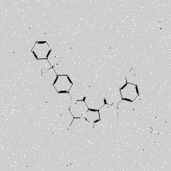 CC1CN(c2ccc(C(F)(F)c3ccccc3)cc2)C(=O)c2c(C(=O)Nc3cccc(C#N)c3)cnn21